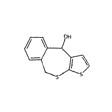 OC1c2ccccc2CSc2sccc21